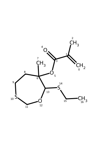 C=C(C)C(=O)OC1(C)CCSCOC1SCC